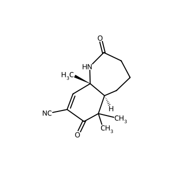 CC1(C)C(=O)C(C#N)=C[C@]2(C)NC(=O)CCC[C@@H]12